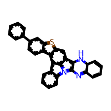 C1=CC2=Nc3c(c4cc5sc6cc(-c7ccccc7)ccc6c5c5c6ccccc6n3c45)NC2C=C1